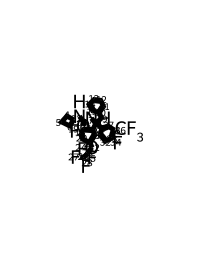 O=C(NC1CCC1)NC(Cc1ccccc1)(c1cc(F)cc(OC(F)(F)C(F)F)c1)c1ccc(F)c(C(F)(F)F)c1